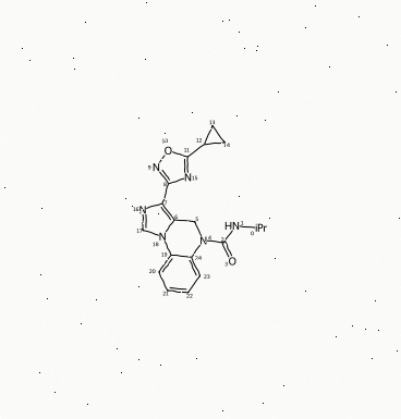 CC(C)NC(=O)N1Cc2c(-c3noc(C4CC4)n3)ncn2-c2ccccc21